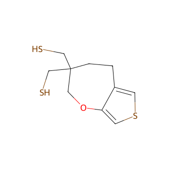 SCC1(CS)CCc2cscc2OC1